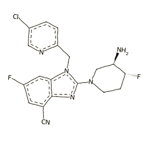 N#Cc1cc(F)cc2c1nc(N1CC[C@@H](F)[C@H](N)C1)n2Cc1ccc(Cl)cn1